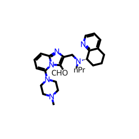 CCCN(Cc1nc2cccc(N3CCN(C)CC3)n2c1C=O)[C@H]1CCCc2cccnc21